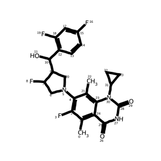 Cc1c(F)c(N2CC(F)C(C(O)c3ccc(F)cc3F)C2)c(C)c2c1c(=O)[nH]c(=O)n2C1CC1